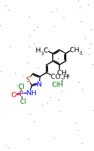 Cc1cc(C)c(C=C(C(=O)O)c2csc(NP(=O)(Cl)Cl)n2)c(C)c1.Cl